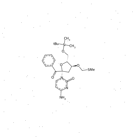 CSCO[C@H]1C[C@](C(=O)c2ccccc2)(n2ccc(N)nc2=O)O[C@@H]1CO[Si](C)(C)C(C)(C)C